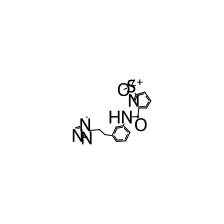 Cn1cnnc1CCc1cccc(NC(=O)c2cccc([S+](C)[O-])n2)c1